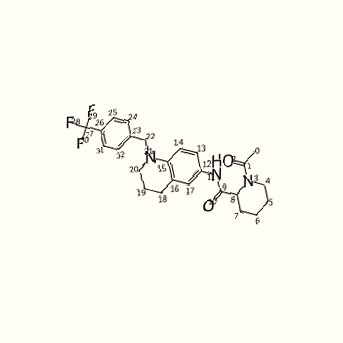 CC(=O)N1CCCCC1C(=O)Nc1ccc2c(c1)CCCN2Cc1ccc(C(F)(F)F)cc1